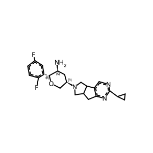 N[C@H]1C[C@@H](N2CC3Cc4nc(C5CC5)ncc4C3C2)CO[C@@H]1c1cc(F)ccc1F